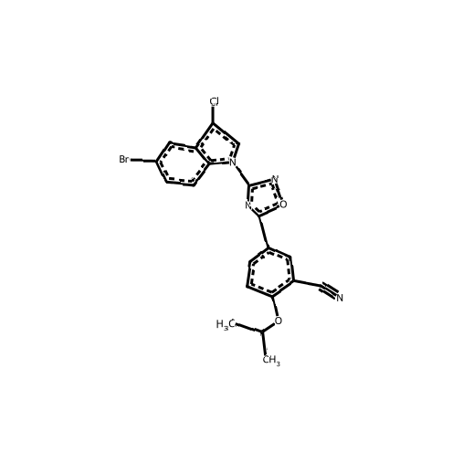 CC(C)Oc1ccc(-c2nc(-n3cc(Cl)c4cc(Br)ccc43)no2)cc1C#N